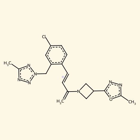 C=C(/C=C/c1ccc(Cl)cc1Cn1nnc(C)n1)N1CC(c2nnc(C)o2)C1